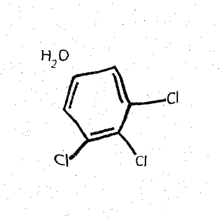 Clc1cccc(Cl)c1Cl.O